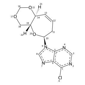 Clc1ncnc2c1ncn2[C@@H]1CC=C[C@@H]2OCOC[C@H]2O1